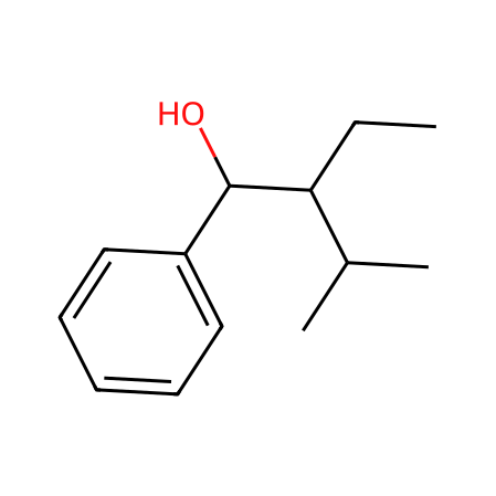 CCC(C(C)C)C(O)c1ccccc1